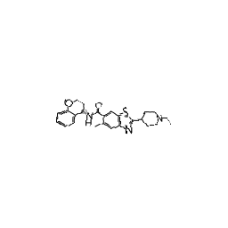 CCN1CCC(c2nc3cc(C)c(C(=O)N[C@H]4CCOc5ccccc54)cc3s2)CC1